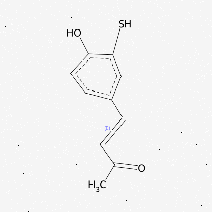 CC(=O)/C=C/c1ccc(O)c(S)c1